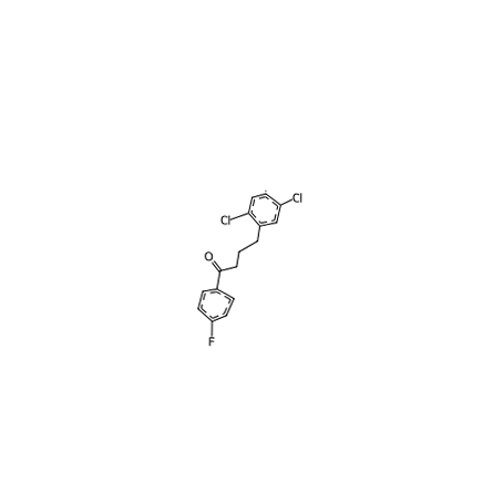 O=C(CCCc1cc(Cl)[c]cc1Cl)c1ccc(F)cc1